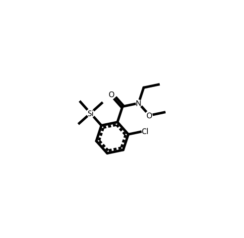 CCN(OC)C(=O)c1c(Cl)cccc1[Si](C)(C)C